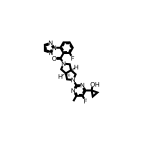 Cc1nc(N2C[C@H]3CN(C(=O)c4c(F)cccc4-n4nccn4)C[C@H]3C2)nc(C2(O)CC2)c1F